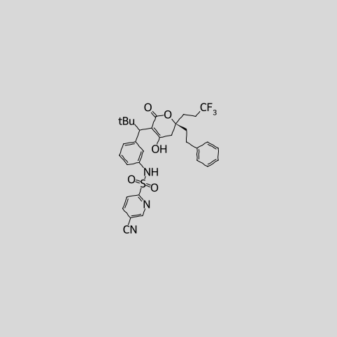 CC(C)(C)C(C1=C(O)C[C@@](CCc2ccccc2)(CCC(F)(F)F)OC1=O)c1cccc(NS(=O)(=O)c2ccc(C#N)cn2)c1